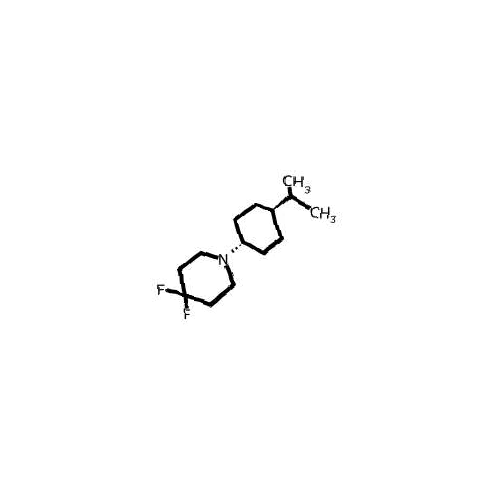 CC(C)[C@H]1CC[C@H](N2CCC(F)(F)CC2)CC1